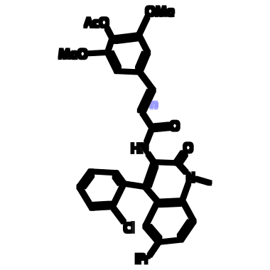 COc1cc(/C=C/C(=O)Nc2c(-c3ccccc3Cl)c3cc(C(C)C)ccc3n(C)c2=O)cc(OC)c1OC(C)=O